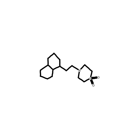 O=S1(=O)CCN(CCC2CCCC3CCCCC32)CC1